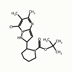 CC1=NC2=CC(C3CCCCN3C(=O)OC(C)(C)C)NN2C(Cl)=C1C